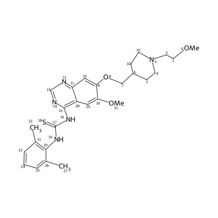 COCCN1CCC(COc2cc3ncnc(NC(=S)Nc4c(C)cccc4C)c3cc2OC)CC1